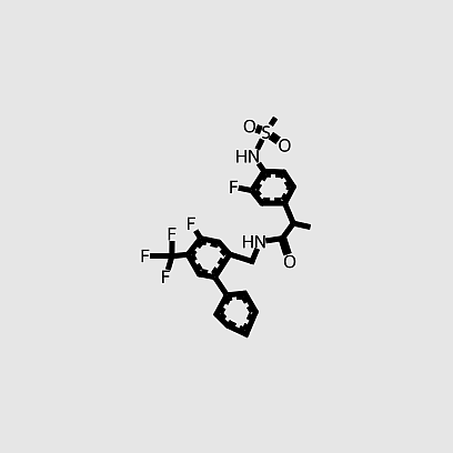 CC(C(=O)NCc1cc(F)c(C(F)(F)F)cc1-c1ccccc1)c1ccc(NS(C)(=O)=O)c(F)c1